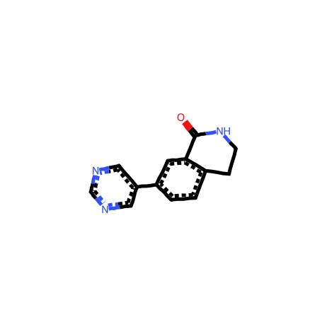 O=C1NCCc2ccc(-c3cncnc3)cc21